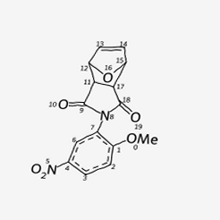 COc1ccc([N+](=O)[O-])cc1N1C(=O)C2C3C=CC(O3)C2C1=O